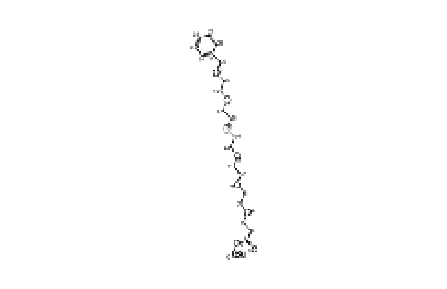 CC(C)(C)OC(=O)CCOCCOCCOCCOCCOCCOCc1ccccc1